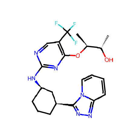 C[C@H](O)[C@H](C)Oc1nc(N[C@@H]2CCC[C@H](c3nnc4ccccn34)C2)ncc1C(F)(F)F